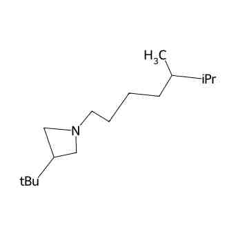 CC(C)C(C)CCCCN1CC(C(C)(C)C)C1